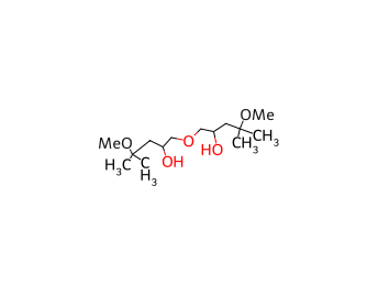 COC(C)(C)CC(O)COCC(O)CC(C)(C)OC